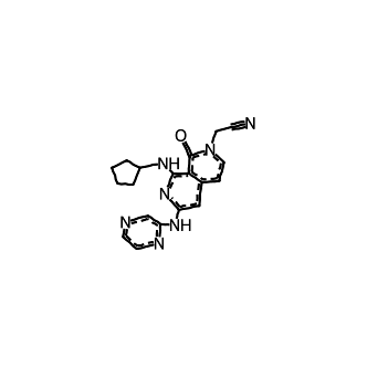 N#CCn1ccc2cc(Nc3cnccn3)nc(NC3CCCC3)c2c1=O